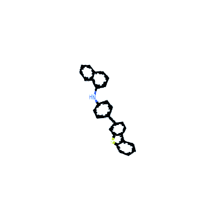 c1ccc2c(Nc3ccc(-c4ccc5c(c4)sc4ccccc45)cc3)cccc2c1